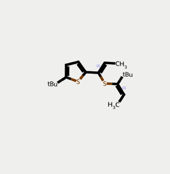 C/C=C(\S/C(=C\C)C(C)(C)C)c1ccc(C(C)(C)C)s1